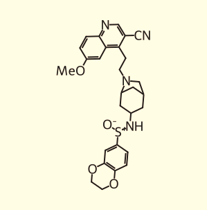 COc1ccc2ncc(C#N)c(CCN3CC4CC(N[S+]([O-])c5ccc6c(c5)OCCO6)CC3C4)c2c1